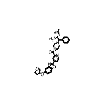 CN/N=C(\N)C(c1ccccc1)N1CCN(C(=O)c2cc(-c3nc4cc(O[C@H]5CCOC5)ccc4o3)ccn2)CC1